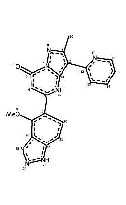 COc1c(-c2cc(=O)n3nc(C)c(-c4ccccn4)c3[nH]2)ccc2[nH]nnc12